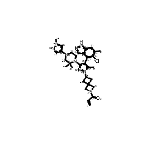 C=CC(=O)N1CC2(CC(n3nc(N4CCN(c5cnn(C)c5)CC4(C)C)c(-c4c(Cl)c(C)cc5[nH]ncc45)c3C)C2)C1